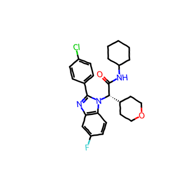 O=C(NC1CCCCC1)[C@H](C1CCOCC1)n1c(-c2ccc(Cl)cc2)nc2cc(F)ccc21